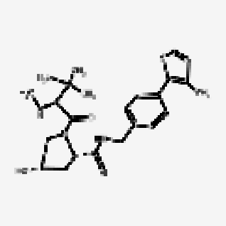 CN[C@H](C(=O)N1C[C@@H](O)C[C@H]1C(=O)NCc1ccc(-c2scnc2C)cc1)C(C)(C)C